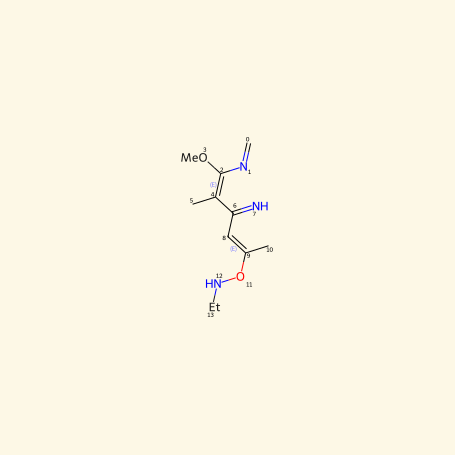 C=N/C(OC)=C(/C)C(=N)/C=C(\C)ONCC